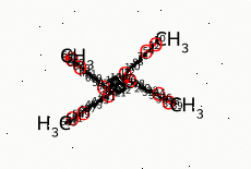 CCOC=COCCCCCCCOC1=c2ccc3c4c(ccc(c24)=C1OCCCCCCCOC=COCC)=C(OCCCCCCCOC=COCC)C=3OCCCCCCCOC=COCC